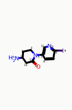 NC1CCN(c2ccc(I)nc2)C(=O)C1